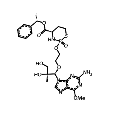 COc1nc(N)nc2c1ncn2[C@H](OCCO[P@@]1(=O)N[C@@H](C(=O)O[C@@H](C)c2ccccc2)CCS1)[C@](C)(O)CO